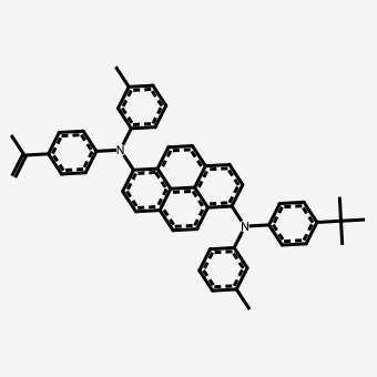 C=C(C)c1ccc(N(c2cccc(C)c2)c2ccc3ccc4c(N(c5ccc(C(C)(C)C)cc5)c5cccc(C)c5)ccc5ccc2c3c54)cc1